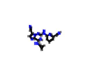 N#Cc1cccc(Nc2nc(NC3CC3)c3ncc(C#N)n3n2)n1